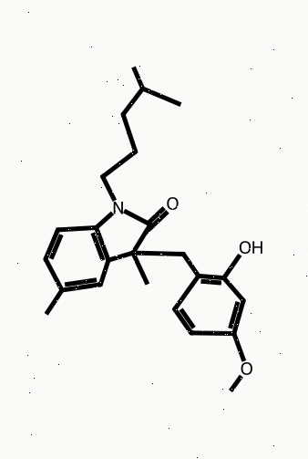 COc1ccc(CC2(C)C(=O)N(CCCC(C)C)c3ccc(C)cc32)c(O)c1